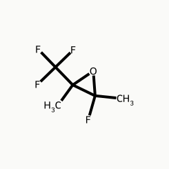 CC1(F)OC1(C)C(F)(F)F